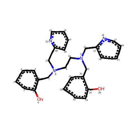 Oc1ccccc1CN(CCN(Cc1ccccn1)Cc1ccccc1O)Cc1ccccn1